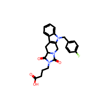 O=C(O)CCCN1C(=O)C2Cc3c(n(Cc4ccc(F)cc4)c4ccccc34)CN2C1=O